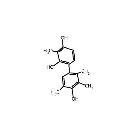 Cc1cc(-c2ccc(O)c(C)c2O)c(C)c(C)c1O